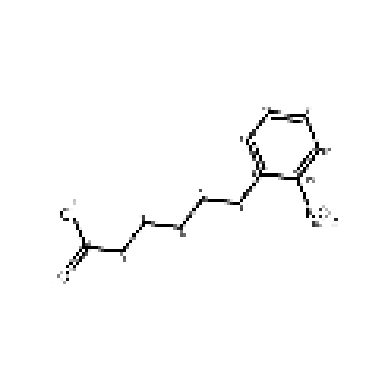 O=C(Cl)CCCCCc1ccccc1[N+](=O)[O-]